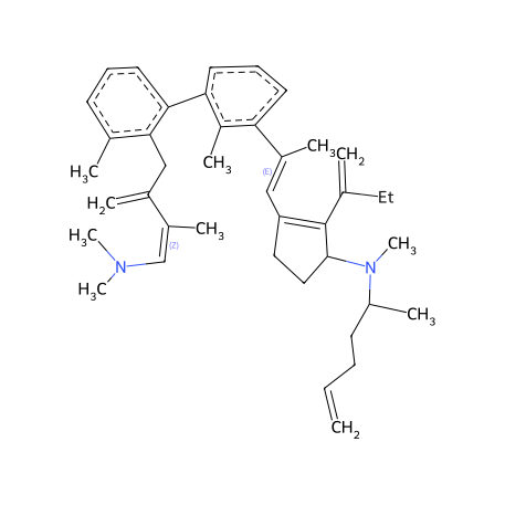 C=CCCC(C)N(C)C1CCC(/C=C(\C)c2cccc(-c3cccc(C)c3CC(=C)/C(C)=C\N(C)C)c2C)=C1C(=C)CC